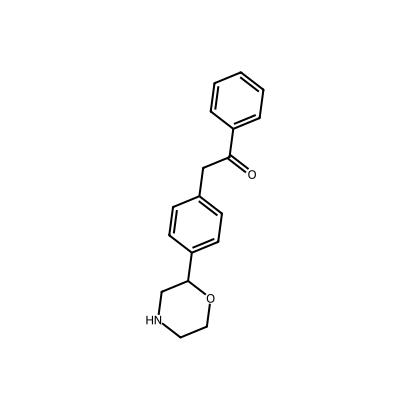 O=C(Cc1ccc(C2CNCCO2)cc1)c1ccccc1